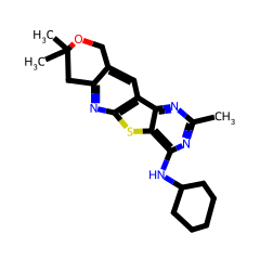 Cc1nc(NC2CCCCC2)c2sc3nc4c(cc3c2n1)COC(C)(C)C4